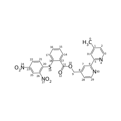 Cc1ccnc(-c2cc(COC(=O)c3ccccc3Sc3ccc([N+](=O)[O-])cc3[N+](=O)[O-])ccn2)c1